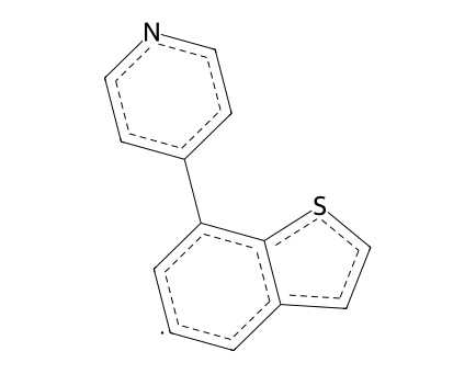 [c]1cc(-c2ccncc2)c2sccc2c1